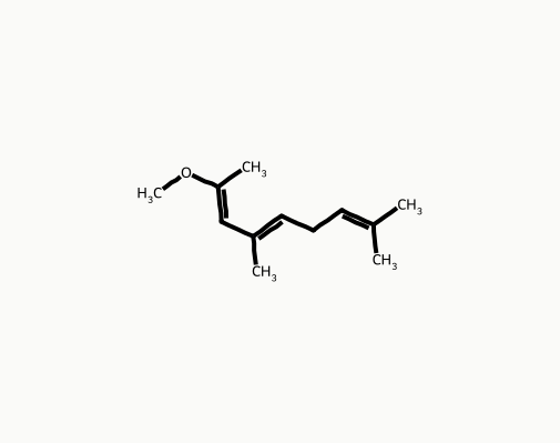 COC(C)=CC(C)=CCC=C(C)C